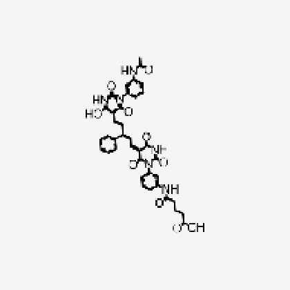 CC(=O)Nc1cccc(-n2c(=O)[nH]c(O)c(C=CC(=C/C=C3\C(=O)NC(=O)N(c4cccc(NC(=O)CCCC(=O)O)c4)C3=O)c3ccccc3)c2=O)c1